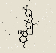 CC(C)(C)CC1c2[nH]c3ccc(Cl)cc3c2CCN1C(=O)CCN1CCC(F)(F)CC1